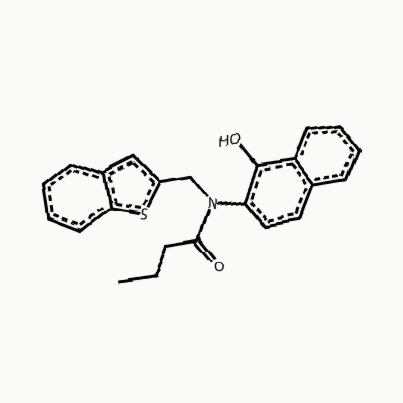 CCCC(=O)N(Cc1cc2ccccc2s1)c1ccc2ccccc2c1O